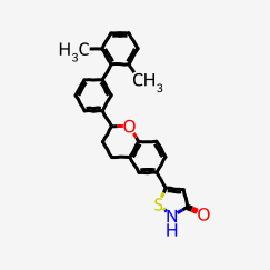 Cc1cccc(C)c1-c1cccc(C2CCc3cc(-c4cc(=O)[nH]s4)ccc3O2)c1